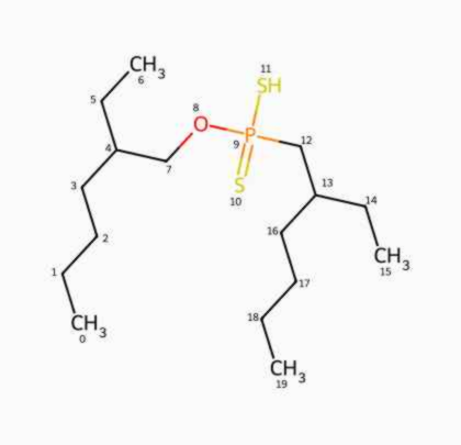 CCCCC(CC)COP(=S)(S)CC(CC)CCCC